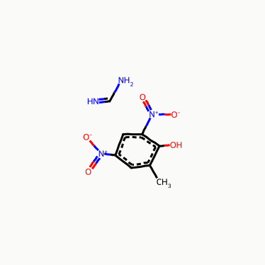 Cc1cc([N+](=O)[O-])cc([N+](=O)[O-])c1O.N=CN